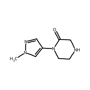 Cn1cc(N2CCNCC2=O)cn1